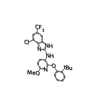 COc1ccc(Nc2nc3c(Cl)cc(C(F)(F)F)cc3[nH]2)c(Oc2ccccc2C(C)(C)C)n1